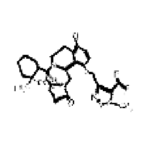 CC1CCC(=O)N1C[C@@H]1c2c(OCc3nnn(C)c3C(F)F)ccc(Cl)c2CCN1C(=O)C1CCCC[C@@]1(C)C(=O)O